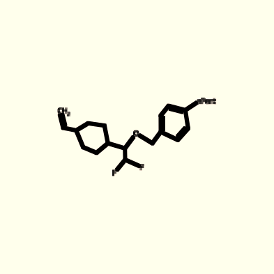 C=CC1CCC(C(OCc2ccc(CCCCC)cc2)C(F)F)CC1